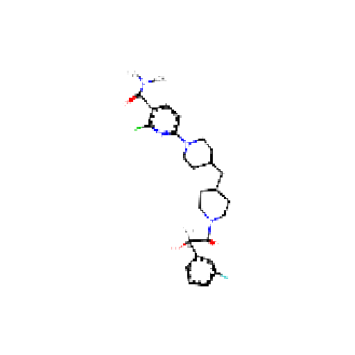 CN(C)C(=O)c1ccc(N2CCC(CC3CCN(C(=O)[C@@](O)(c4cccc(F)c4)C(F)(F)F)CC3)CC2)nc1Cl